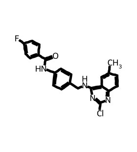 Cc1ccc2nc(Cl)nc(NCc3ccc(NC(=O)c4ccc(F)cc4)cc3)c2c1